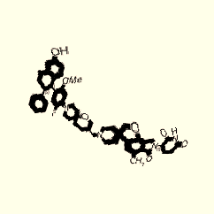 COc1cc(N2CCC3(CC[C@H](CN4CCC5(CC4)COc4c5cc(C)c5c4CN([C@H]4CCC(=O)NC4=O)C5=O)CO3)CC2)c(F)cc1[C@@H]1c2ccc(O)cc2CC[C@@H]1c1ccccc1